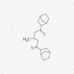 CC(CC(=S)C1CC2CCC1C2)CC(=S)C1CC2CCC1C2